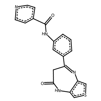 O=C1CC(c2cccc(NC(=O)c3ccncc3)c2)=Nc2cscc2N1